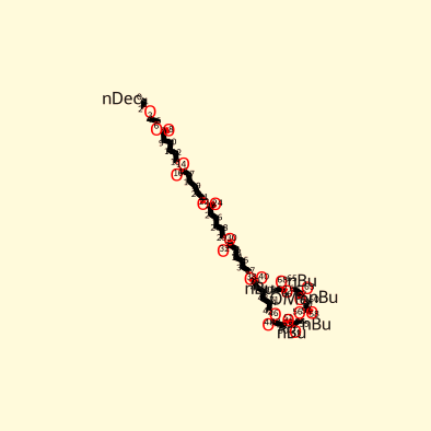 CCCCCCCCCCCCOCCOC(=O)CCCCCOC(=O)CCCCCOC(=O)CCCCCOC(=O)CCCCCOC(=O)CCCCCOC(=O)C(CCCC)OC(=O)C(CCCC)OC(=O)C(CCCC)OC(=O)C(CCCC)OC(=O)C(CCCC)OC